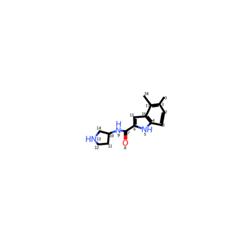 Cc1ccc2[nH]c(C(=O)NC3CCNC3)cc2c1C